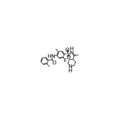 Cc1cc(S(=O)(=O)N[C@@H](C)C2CCNCC2)c(F)cc1NC(=O)c1ccccc1C